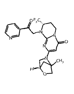 CC12CO[C@H](CN1c1cc(=O)n3c(n1)N(CC(=O)c1cccnc1)[C@H](C(F)(F)F)CC3)C2